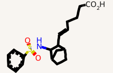 O=C(O)CCCC=CC1C2CCC(C2)C1NS(=O)(=O)c1ccccc1